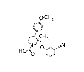 COc1ccc(C2CCN(C(=O)O)CC2(C)COc2cccc(C#N)c2)cc1